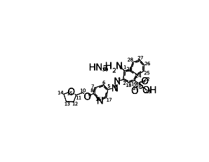 Nc1c(/N=N/c2ccc(OCC3CCCO3)nc2)cc(S(=O)(=O)O)c2ccccc12.[NaH]